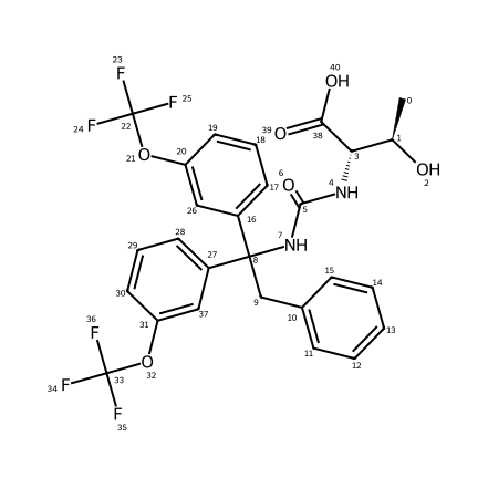 C[C@@H](O)[C@H](NC(=O)NC(Cc1ccccc1)(c1cccc(OC(F)(F)F)c1)c1cccc(OC(F)(F)F)c1)C(=O)O